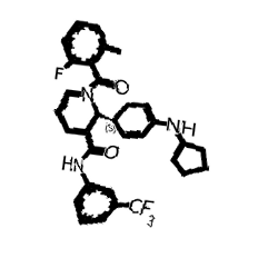 Cc1cccc(F)c1C(=O)N1CCCC(C(=O)Nc2cccc(C(F)(F)F)c2)C1[C@@H]1C=CC(NC2CCCC2)=CC1